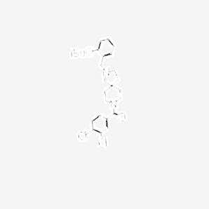 CC(C)COc1ccccc1CN1CCC2(CCN(C(=O)c3ccc(Cl)c(Cl)c3)CC2)C1